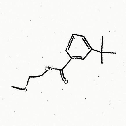 CSCCNC(=O)c1cccc(C(C)(C)C)c1